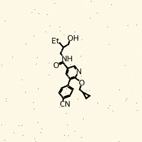 CCC(CO)CNC(=O)c1cnc(OCC2CC2)c(-c2ccc(C#N)cc2)c1